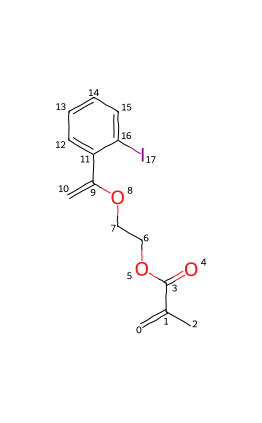 C=C(C)C(=O)OCCOC(=C)c1ccccc1I